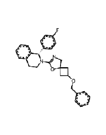 Fc1ccc([C@H]2c3ccccc3CCN2C2=NCC3(CC(OCc4ccccc4)C3)O2)cc1